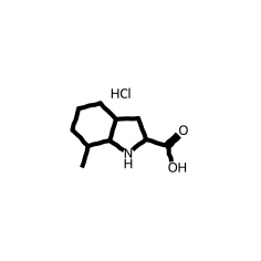 CC1CCCC2CC(C(=O)O)NC12.Cl